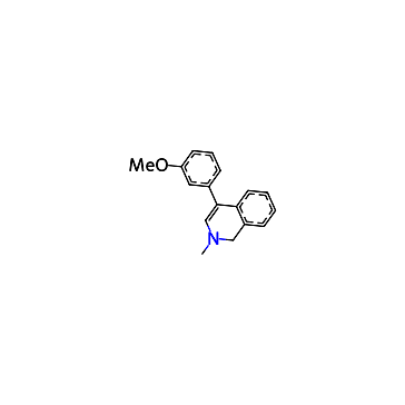 COc1cccc(C2=CN(C)Cc3ccccc32)c1